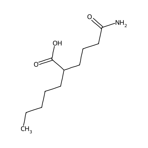 CCCCCC(CCCC(N)=O)C(=O)O